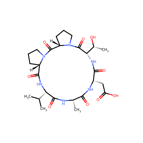 CC(C)[C@@H]1NC(=O)[C@@H]2CCCN2C(=O)[C@@H]2CCCN2C(=O)[C@H]([C@@H](C)O)NC(=O)[C@H](CC(=O)O)NC(=O)[C@H](C)NC1=O